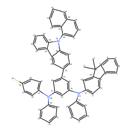 CC1(C)c2ccccc2-c2ccc(N(c3ccccc3)c3cc(-c4ccc5c(c4)c4ccccc4n5-c4cccc5ccccc45)cc(N(c4ccccc4)c4ccc(F)cc4)c3)cc21